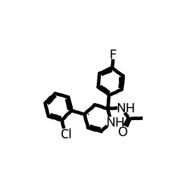 CC(=O)NC1(c2ccc(F)cc2)C[C](c2ccccc2Cl)C=CN1